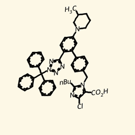 CCCCc1nc(Cl)c(C(=O)O)n1Cc1ccc(-c2cc(N3CCCC(C)C3)ccc2-c2nnn(C(c3ccccc3)(c3ccccc3)c3ccccc3)n2)cc1